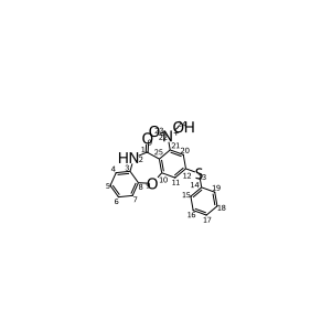 O=C1Nc2ccccc2Oc2cc(Sc3ccccc3)cc([N+](=O)O)c21